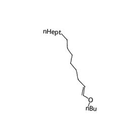 CCCCCCCCCCCCCC=COCCCC